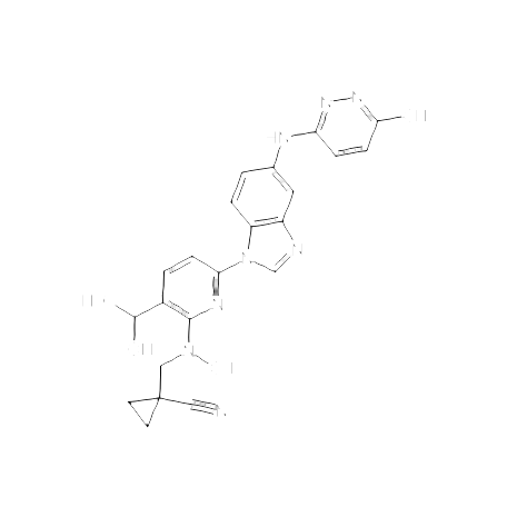 Cc1ccc(Nc2ccc3c(c2)ncn3-c2ccc(C(C)O)c(N(C)CC3(C#N)CC3)n2)nn1